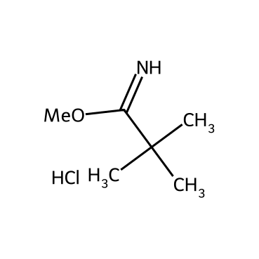 COC(=N)C(C)(C)C.Cl